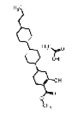 CC(=O)O.CCC[C@H]1CC[C@H]([C@H]2CC[C@H](C3CCC(C(=O)OC)=C(O)C3)CC2)CC1